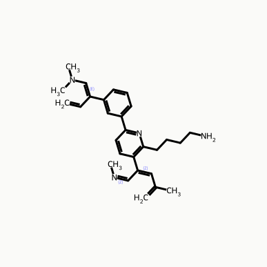 C=C/C(=C\N(C)C)c1cccc(-c2ccc(C(/C=N\C)=C/C(=C)C)c(CCCCN)n2)c1